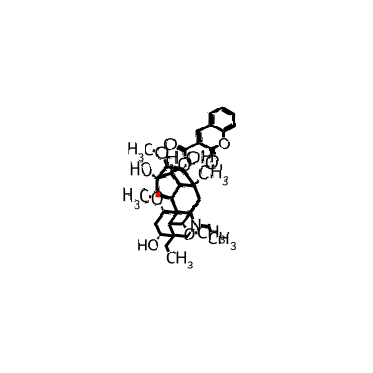 CCN1CC2(CC)C3[C@H](OC)C4C1C3(C1C[C@@]3(O)[C@H](OC(=O)c5cc6ccccc6oc5=O)C1[C@]4(C)[C@@H](O)[C@@H]3OC)[C@@H](OC)C[C@H]2O